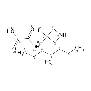 CCCCCCC.Cl.FC1(F)CNC1.O=C(O)C(=O)O